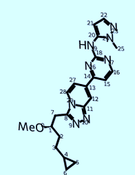 CO[C@H](CCC1CC1)Cc1nnc2cc(-c3ccnc(Nc4ccnn4C)n3)ccn12